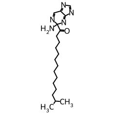 CC(C)CCCCCCCCCCCC(=O)C1(N)N=CC2=NC=NC2=N1